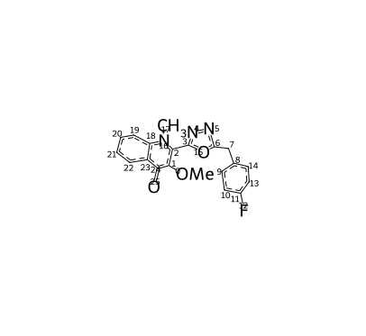 COc1c(-c2nnc(Cc3ccc(F)cc3)o2)n(C)c2ccccc2c1=O